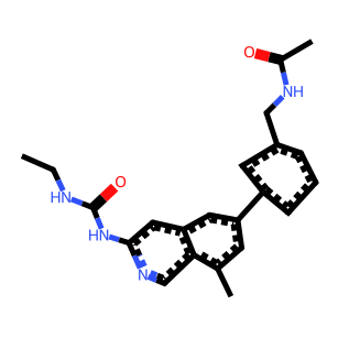 CCNC(=O)Nc1cc2cc(-c3cccc(CNC(C)=O)c3)cc(C)c2cn1